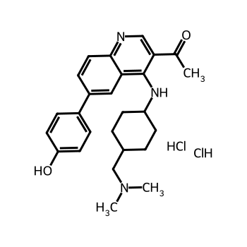 CC(=O)c1cnc2ccc(-c3ccc(O)cc3)cc2c1NC1CCC(CN(C)C)CC1.Cl.Cl